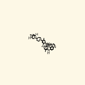 COc1cc(N2CCC(N3C[C@@H]4C[C@H]3CN4C)CC2)c(C)cc1Nc1ncc(C)c(Nc2ccc3nccnc3c2NS(C)(=O)=O)n1